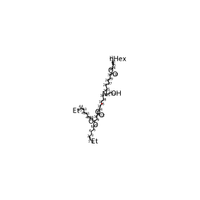 CC/C=C\CCCCOC(CCC(=O)OCCCCCCN(CCO)CCCCCCCC(=O)OCC#CCCCCCC)OCCCC/C=C\CC